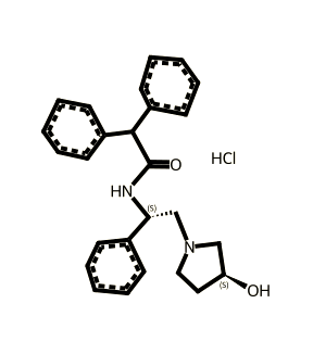 Cl.O=C(N[C@H](CN1CC[C@H](O)C1)c1ccccc1)C(c1ccccc1)c1ccccc1